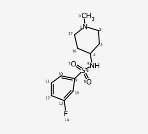 CN1CCC(NS(=O)(=O)c2cccc(F)c2)CC1